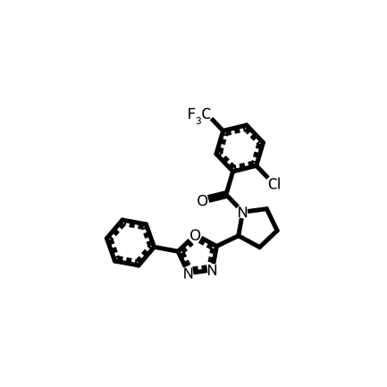 O=C(c1cc(C(F)(F)F)ccc1Cl)N1CCCC1c1nnc(-c2ccccc2)o1